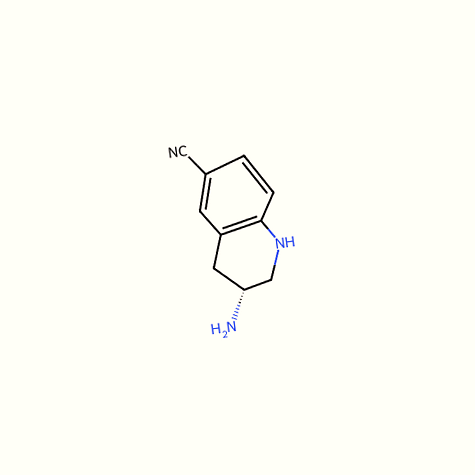 N#Cc1ccc2c(c1)C[C@@H](N)CN2